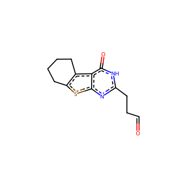 O=CCCc1nc2sc3c(c2c(=O)[nH]1)CCCC3